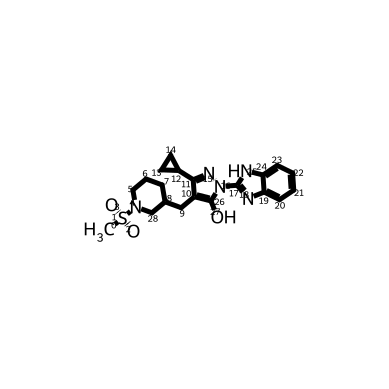 CS(=O)(=O)N1CCCC(Cc2c(C3CC3)nn(-c3nc4ccccc4[nH]3)c2O)C1